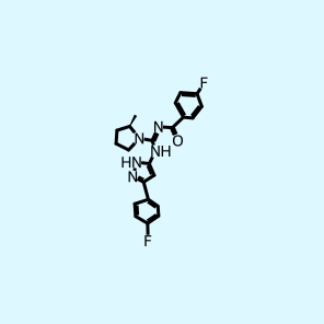 C[C@@H]1CCCN1/C(=N/C(=O)c1ccc(F)cc1)Nc1cc(-c2ccc(F)cc2)n[nH]1